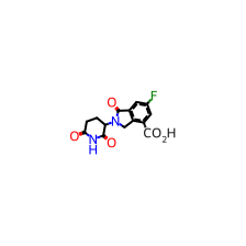 O=C1CCC(N2Cc3c(C(=O)O)cc(F)cc3C2=O)C(=O)N1